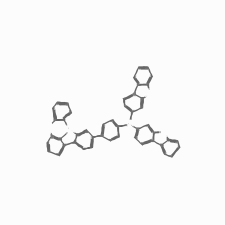 c1ccc2c(c1)Oc1cccc3c4ccc(-c5ccc(N(c6ccc7c(c6)oc6ccccc67)c6ccc7c(c6)oc6ccccc67)cc5)cc4n-2c13